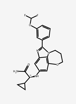 NC(=O)[C@@H](Nc1cc2c3c(c1)nc(-c1cccc(OC(F)F)c1)n3CCCO2)C1CC1